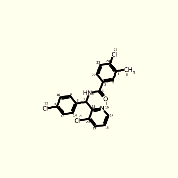 Cc1cc(C(=O)NC(c2ccc(Cl)cc2)c2ncccc2Cl)ccc1Cl